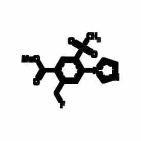 COC(=O)c1cc(S(C)(=O)=O)c(-n2ccnc2)cc1CF